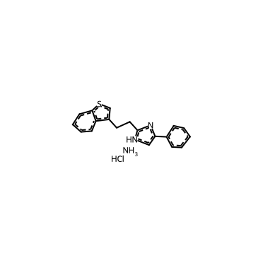 Cl.N.c1ccc(-c2c[nH]c(CCc3csc4ccccc34)n2)cc1